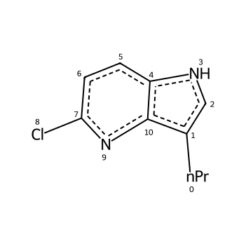 CCCc1c[nH]c2ccc(Cl)nc12